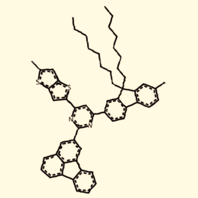 CCCCCCCCC1(CCCCCCCC)c2cc(C)ccc2-c2ccc(-c3cc(-c4cc5sc(C)cc5s4)nc(-c4cc5c6c(cccc6c4)-c4ccccc4-5)n3)cc21